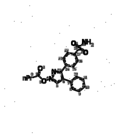 CCCC(=O)On1cc(-c2ccccc2)c(-c2ccc(S(N)(=O)=O)cc2)n1